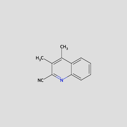 Cc1c(C#N)nc2ccccc2c1C